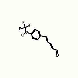 O=CC=CC=Cc1ccc([S+]([O-])C(F)(F)F)cc1